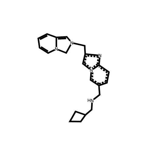 C1=CC2=CN(Cc3cn4cc(CNCC5CCC5)ccc4n3)CN2C=C1